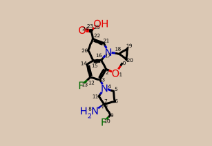 COc1c(N2CC[C@](N)(CF)C2)c(F)cc2c1N(C1CC1)C=C(C(=O)O)C2